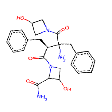 NC(=O)C1C(O)CN1C(=O)[C@@H](Cc1ccccc1)C(N)(Cc1ccccc1)C(=O)N1CC(O)C1